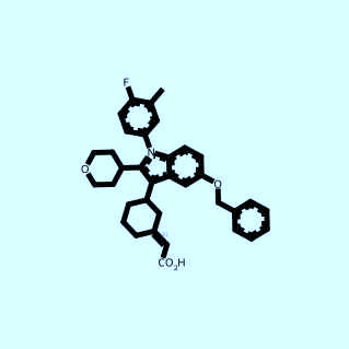 Cc1cc(-n2c(C3CCOCC3)c(C3CCC/C(=C\C(=O)O)C3)c3cc(OCc4ccccc4)ccc32)ccc1F